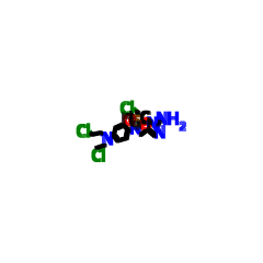 Cn1c(CN(c2ccc(N(CCCl)CCCl)cc2)S(=O)(=O)CCl)cnc1N